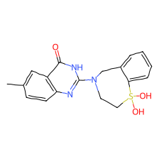 Cc1ccc2nc(N3CCS(O)(O)c4ccccc4C3)[nH]c(=O)c2c1